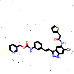 Cc1cc2[nH]nc(/C=C/c3cccc(NC(=O)OCc4cccnc4)c3)c2cc1NC(=O)Cc1cccs1